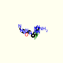 N#CCN1CCN(C(=O)[C@@]2(N)CCN(c3ccc(F)c(C(F)(F)F)c3Cn3cnc4c(N)ncnc43)C2)CC1